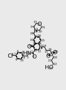 O=C(NCc1ccc(Cl)cc1)c1cn(CCCS(=O)(=O)CCCO)c2ccc(CN3CCOCC3)cc2c1=O